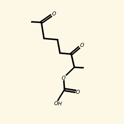 CC(=O)CCCC(=O)C(C)OC(=O)O